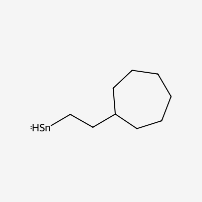 [SnH][CH2]CC1CCCCCC1